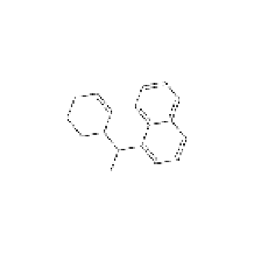 CC(c1cccc2ccccc12)C1C=CCCC1